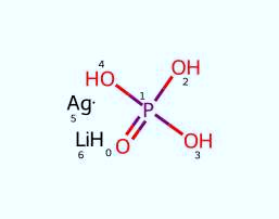 O=P(O)(O)O.[Ag].[LiH]